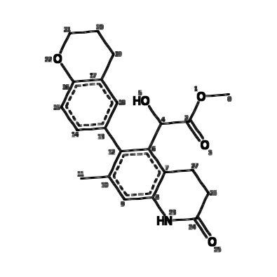 COC(=O)C(O)c1c2c(cc(C)c1-c1ccc3c(c1)CCCO3)NC(=O)CC2